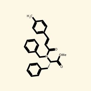 COC(=O)[C@H](Cc1ccccc1)N(Cc1ccccc1)C(=O)C=Cc1ccc(C)cc1